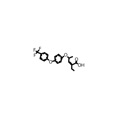 CCC(=CC(C)Oc1ccc(Oc2ccc(C(F)(F)F)cc2)cc1)C(=O)O